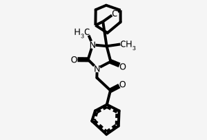 CN1C(=O)N(CC(=O)c2ccccc2)C(=O)C1(C)C1CC2CCC1CC2